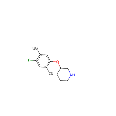 CC(C)(C)c1cc(OC2CCCNC2)c(C#N)cc1F